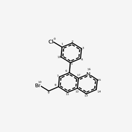 Clc1cccc(-c2cc(CBr)cc3cccnc23)c1